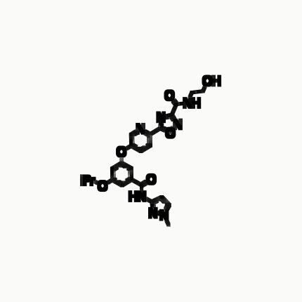 CC(C)Oc1cc(Oc2ccc(-c3nc(C(=O)NCCO)no3)nc2)cc(C(=O)Nc2ccn(C)n2)c1